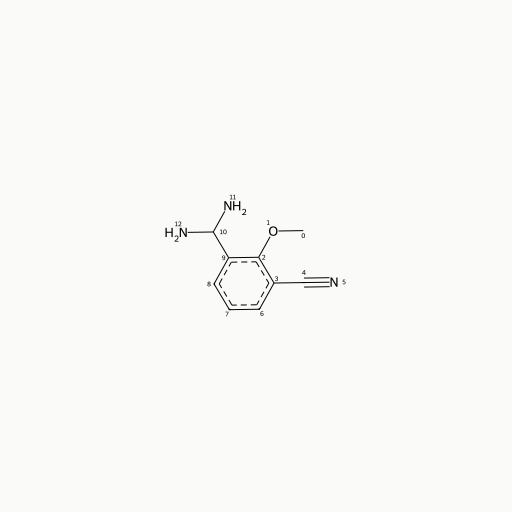 COc1c(C#N)cccc1C(N)N